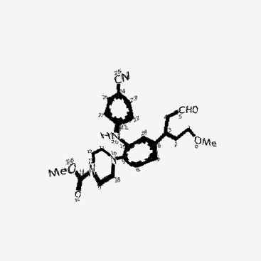 COCCC(CC=O)c1ccc(N2CCN(C(=O)OC)CC2)c(Nc2ccc(C#N)cc2)c1